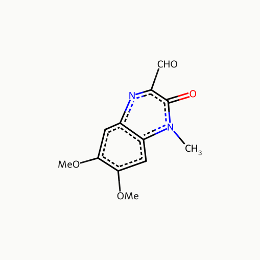 COc1cc2nc(C=O)c(=O)n(C)c2cc1OC